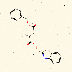 CCC(CC(=O)OCc1ccccc1)C(=O)OSc1nc2ccccc2s1